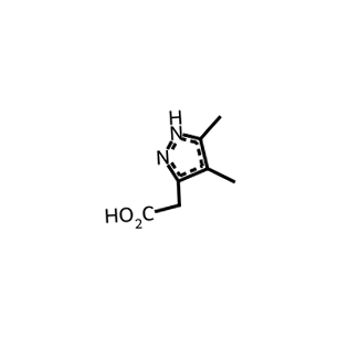 Cc1[nH]nc(CC(=O)O)c1C